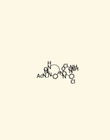 CC(=O)N1CCN2c3cccc(c3)[C@@H](n3cnc(-c4cc(Cl)ccc4N4C=C(Cl)NN4)cc3=O)CCCCCNC(=O)[C@H]2C1